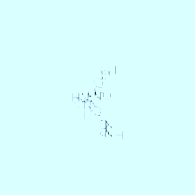 COc1ccc2c(c1)C(=O)N(C[C@]1(c3ccc(-c4cnc5c(ccn5C)c4)cc3)NC(=O)NC1=O)C2